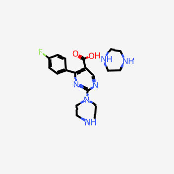 C1CNCCN1.O=C(O)c1cnc(N2CCNCC2)nc1-c1ccc(F)cc1